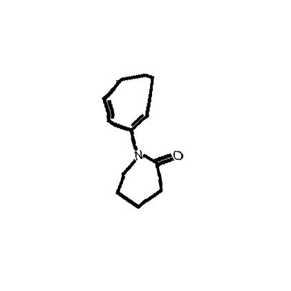 O=C1CCCCN1C1=CC[CH]C=C1